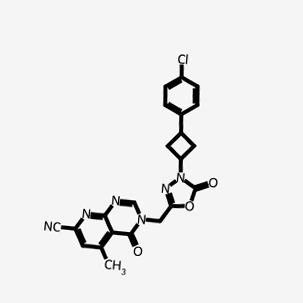 Cc1cc(C#N)nc2ncn(Cc3nn(C4CC(c5ccc(Cl)cc5)C4)c(=O)o3)c(=O)c12